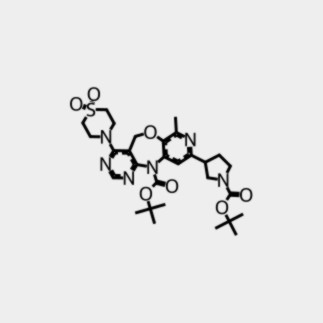 Cc1nc(C2CCN(C(=O)OC(C)(C)C)C2)cc2c1OCc1c(N3CCS(=O)(=O)CC3)ncnc1N2C(=O)OC(C)(C)C